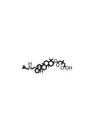 CC(C)(CC(=O)O)CC(=O)O[C@H]1CC[C@@]2(C)C(CC[C@]3(C)C2CC[C@@H]2[C@H]4CCC[C@]4(CCNCC4CC4)CC[C@]23C)C1(C)C